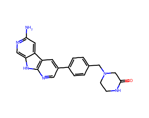 Nc1cc2c(cn1)[nH]c1ncc(-c3ccc(CN4CCNC(=O)C4)cc3)cc12